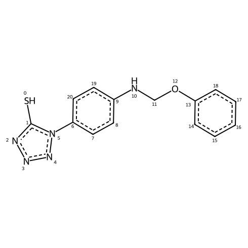 Sc1nnnn1-c1ccc(NCOc2ccccc2)cc1